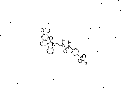 CC(=O)c1ccc(NC(=O)NCCN2C(=O)C3(COc4cc5c(cc43)OCO5)c3ccccc32)cc1